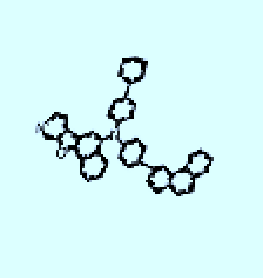 c1ccc(-c2ccc(N(c3ccc(-c4ccc5ccc6ccccc6c5c4)cc3)c3cc4c5ccncc5oc4c4ccccc34)cc2)cc1